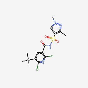 Cc1nn(C)cc1S(=O)(=O)NC(=O)c1cc([Si](C)(C)C)c(Cl)nc1Cl